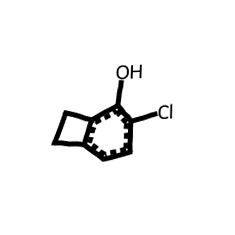 Oc1c(Cl)ccc2c1CC2